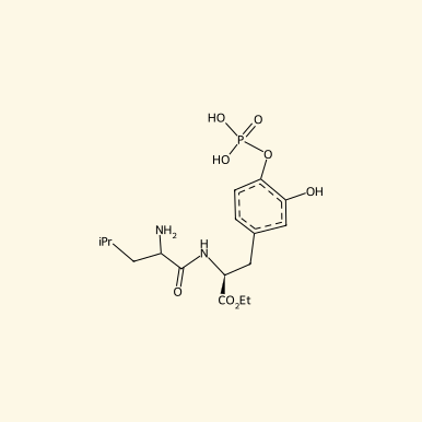 CCOC(=O)[C@H](Cc1ccc(OP(=O)(O)O)c(O)c1)NC(=O)C(N)CC(C)C